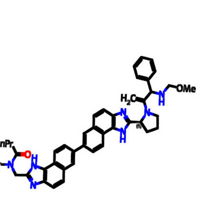 C=C(C(NCOC)c1ccccc1)N1CCC[C@H]1c1nc2ccc3cc(-c4ccc5c(ccc6nc(CN(CCC)C(=O)CCC)[nH]c65)c4)ccc3c2[nH]1